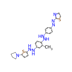 Cc1cc(NNc2ccc(N3CCCC3)s2)ccc1NNc1ccc(/N=N/c2nccs2)cc1